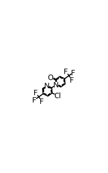 O=c1cc(C(F)(F)F)ccn1-c1ncc(C(F)(F)F)cc1Cl